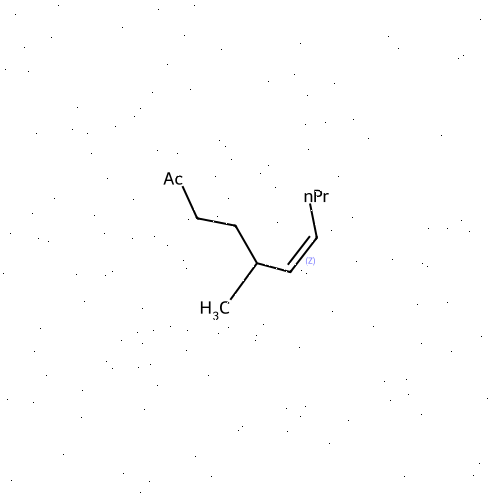 CCC/C=C\C(C)CCC(C)=O